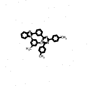 Cc1ccc(-c2nc(-c3ccc(C)cc3)nc(-c3cccc(-c4nc5ccccc5n4-c4cc(C)cc(C)c4)c3)n2)cc1